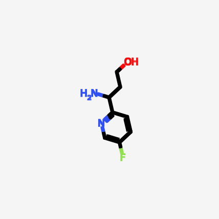 NC(CCO)c1ccc(F)cn1